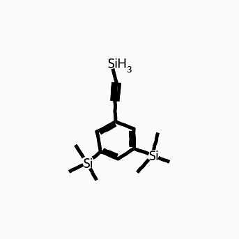 C[Si](C)(C)c1cc(C#C[SiH3])cc([Si](C)(C)C)c1